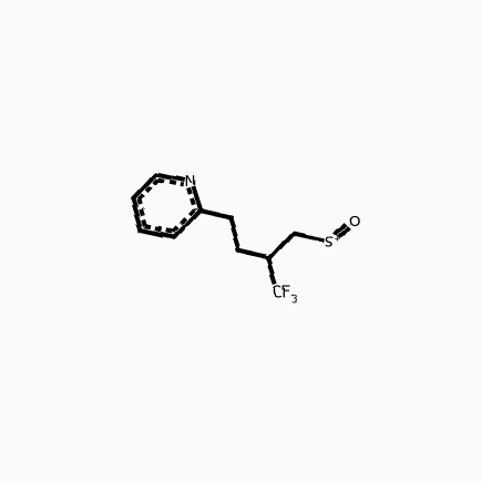 O=[S+]CC(CCc1ccccn1)C(F)(F)F